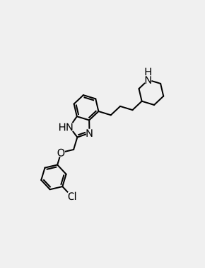 Clc1cccc(OCc2nc3c(CCCC4CCCNC4)cccc3[nH]2)c1